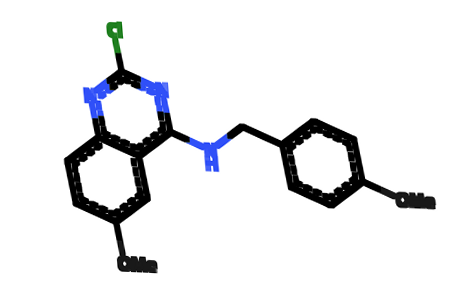 COc1ccc(CNc2nc(Cl)nc3ccc(OC)cc23)cc1